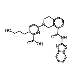 O=C(Nc1nc2ccccc2s1)c1cccc2c1CN(c1ccc(CCCO)c(C(=O)O)n1)CC2